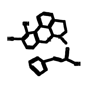 CN1CCc2cccc3c2[C@H]1Cc1ccc(O)c(O)c1-3.O=C(O)C=Cc1ccccc1